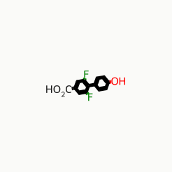 O=C(O)c1cc(F)c(-c2ccc(O)cc2)c(F)c1